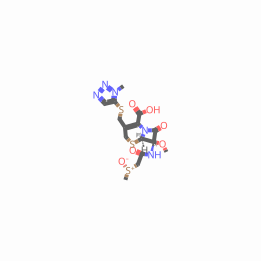 CO[C@@]1(NC(=O)C[S+](C)[O-])C(=O)N2C(C(=O)O)=C(CSc3cnnn3C)CS[C@@H]21